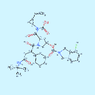 C=CC1CC1N(C(=O)O)C(=O)C1CC(OC(=O)N2Cc3cccc(F)c3C2)CN1C(=O)C(CC(=O)NC(C)(C)C)C1CCCCC1